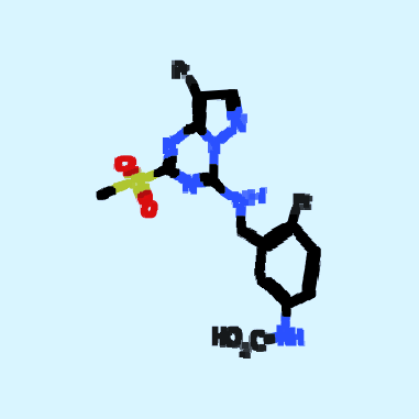 CCc1ccc(NC(=O)O)cc1CNc1nc(S(C)(=O)=O)nc2c(C(C)C)cnn12